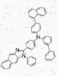 c1ccc(-c2cccc(N(c3ccc(-c4cccc5ccccc45)cc3)c3ccc(-c4nc5cc6ccccc6cc5n4-c4ccccc4)cc3)c2)cc1